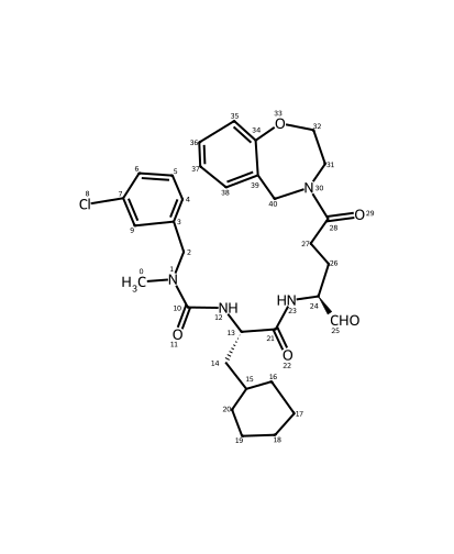 CN(Cc1cccc(Cl)c1)C(=O)N[C@@H](CC1CCCCC1)C(=O)N[C@H](C=O)CCC(=O)N1CCOc2ccccc2C1